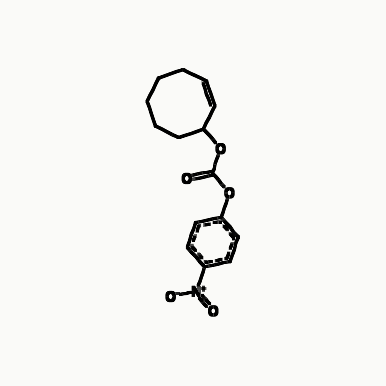 O=C(Oc1ccc([N+](=O)[O-])cc1)OC1C=CCCCCC1